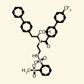 CS(=O)(=O)c1ccccc1S(=O)(=O)NCCN(C(=O)c1ccc(-c2ccc(C(F)(F)F)cc2)cc1)[C@@H](Cc1ccc(-c2ccccc2)cc1)C(=O)O